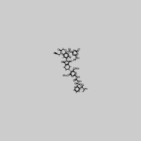 C#CCN1C(=O)COc2cc(F)c(N3C(=O)C4=C(CCCC4)C3=O)cc21.CCNc1nc(Cl)nc(NC(C)C)n1.COc1cc(OC)nc(NC(=O)NS(=O)(=O)c2ncccc2C(=O)N(C)C)n1